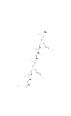 CCC(=O)NCCN(CCNC(=O)CC(=O)NCCN(CCNC(=O)CC(=O)NC)CC(O)CCl)CC(O)CO